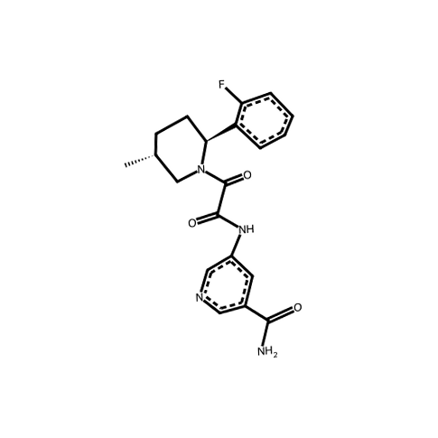 C[C@@H]1CC[C@@H](c2ccccc2F)N(C(=O)C(=O)Nc2cncc(C(N)=O)c2)C1